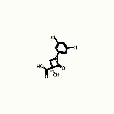 C[C@]1(C(=O)O)CN(c2cc(Cl)cc(Cl)c2)C1=O